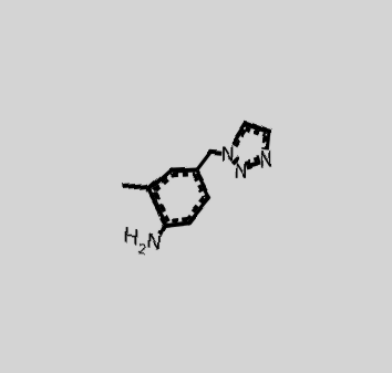 Cc1cc(Cn2ccnn2)ccc1N